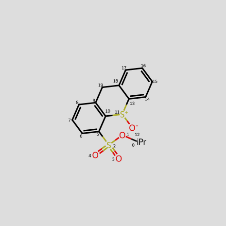 CC(C)OS(=O)(=O)c1cccc2c1[S+]([O-])c1ccccc1C2